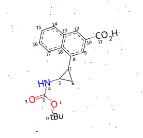 CC(C)(C)OC(=O)NC1CC1c1cc(C(=O)O)cc2ccccc12